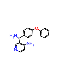 Nc1ccncc1C(N)c1ccc(Oc2ccccc2)cc1